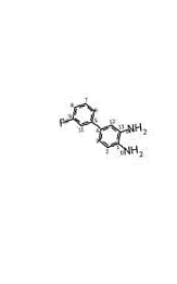 Nc1ccc(-c2cccc(F)c2)cc1N